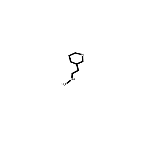 CNCCC1CCC[N]C1